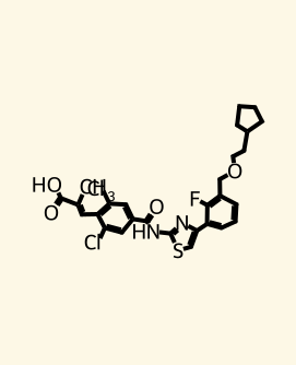 CC(=Cc1c(Cl)cc(C(=O)Nc2nc(-c3cccc(COCCC4CCCC4)c3F)cs2)cc1Cl)C(=O)O